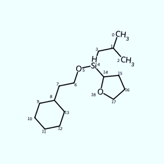 CC(C)C[SiH](OCCC1CCCCC1)C1CCCO1